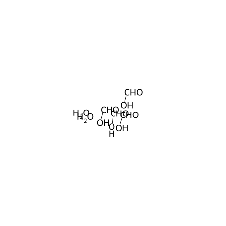 O.O.O=CO.O=CO.O=CO.O=CO